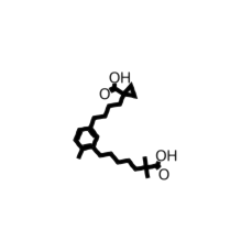 Cc1ccc(CCCCC2(C(=O)O)CC2)cc1CCCCCC(C)(C)C(=O)O